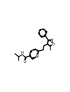 Cc1onc(-c2ccccc2)c1CCc1ccc(C(=O)NC(C)C)cn1